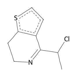 CC(Cl)C1=NCCc2sccc21